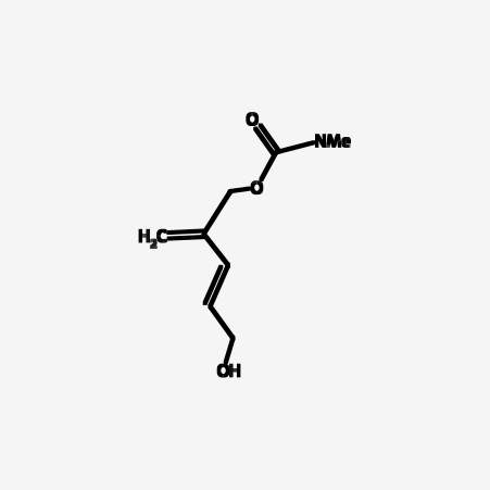 C=C(C=CCO)COC(=O)NC